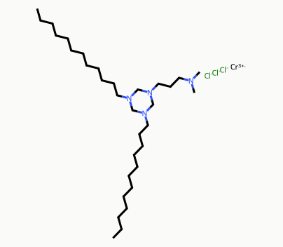 CCCCCCCCCCCCN1CN(CCCCCCCCCCCC)CN(CCCN(C)C)C1.[Cl-].[Cl-].[Cl-].[Cr+3]